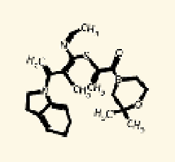 C=C(SC(/N=C\C)=C(\C)C(=C)N1CCC2=CCCC=C21)C(=O)B1CCOC(C)(C)C1